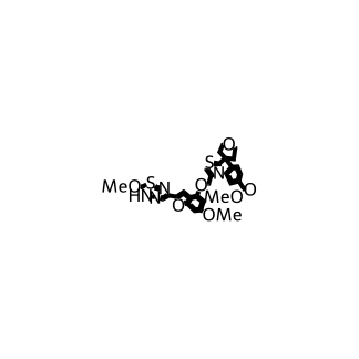 COC(=O)c1ccc(C2(c3nc(COc4cc(OC)cc5oc(-c6cn7c(n6)SC(OC)N7)cc45)cs3)CCOCC2)cc1